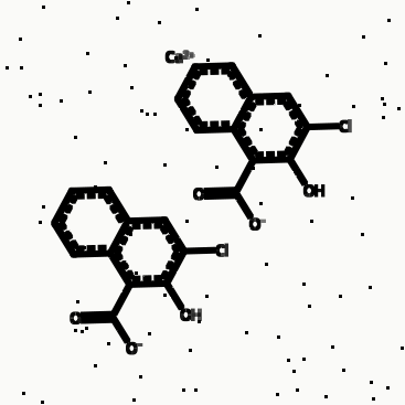 O=C([O-])c1c(O)c(Cl)cc2ccccc12.O=C([O-])c1c(O)c(Cl)cc2ccccc12.[Ca+2]